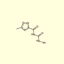 Cc1cc(C(=O)NC(=O)NC(C)C)no1